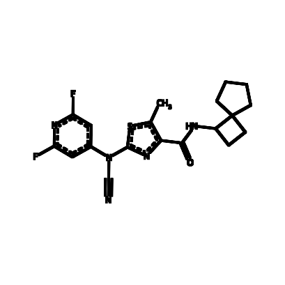 Cc1sc(N(C#N)c2cc(F)nc(F)c2)nc1C(=O)NC1CCC12CCCC2